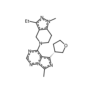 CCc1nn(C)c2c1CN(c1ncnn3c(C)nc([C@@H]4CCOC4)c13)CC2